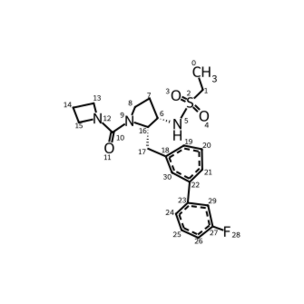 CCS(=O)(=O)N[C@H]1CCN(C(=O)N2CCC2)[C@H]1Cc1cccc(-c2cccc(F)c2)c1